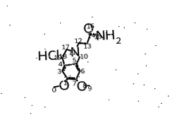 COc1cc2c(cc1OC)CN(CCC(N)=O)CC2.Cl